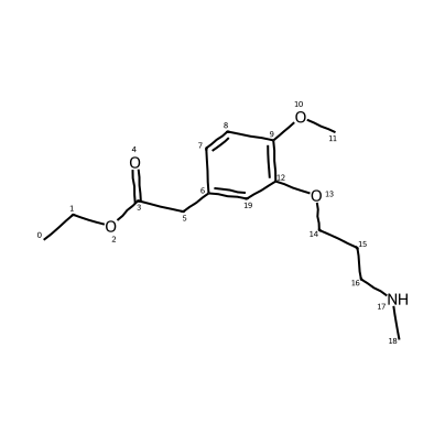 CCOC(=O)Cc1ccc(OC)c(OCCCNC)c1